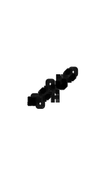 CC(C)(C)OC(=O)N1CCN(C(=O)Nc2ccc(N3CCOCC3)nc2)CC1